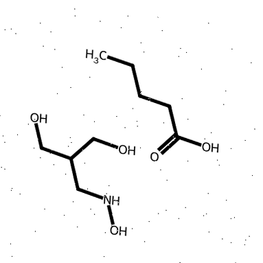 CCCCC(=O)O.OCC(CO)CNO